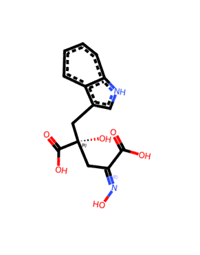 O=C(O)/C(C[C@](O)(Cc1c[nH]c2ccccc12)C(=O)O)=N/O